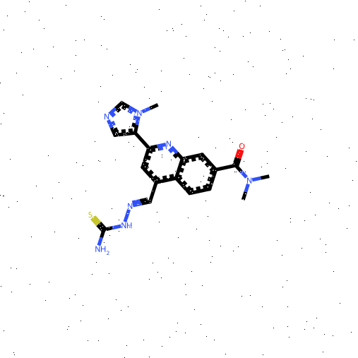 CN(C)C(=O)c1ccc2c(/C=N/NC(N)=S)cc(-c3cncn3C)nc2c1